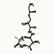 C[C@@H](O)[C@H](N)C(=O)O.C[C@H](N)C(=O)O.NCC(=O)OC[C@H](N)C(=O)O